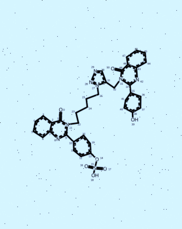 O=c1c2ccccc2nc(-c2ccc(OS(=O)(=O)O)cc2)n1CCCCCn1nncc1Cn1c(-c2ccc(O)cc2)nc2ccccc2c1=O